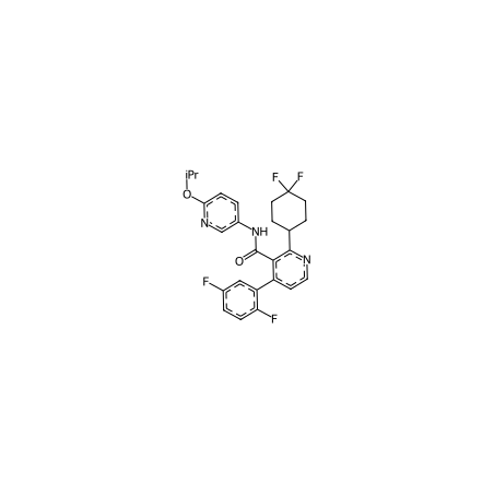 CC(C)Oc1ccc(NC(=O)c2c(-c3cc(F)ccc3F)ccnc2C2CCC(F)(F)CC2)cn1